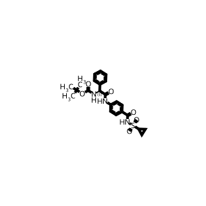 CC(C)(C)OC(=O)N[C@H](C(=O)Nc1ccc(C(=O)NS(=O)(=O)C2CC2)cc1)c1ccccc1